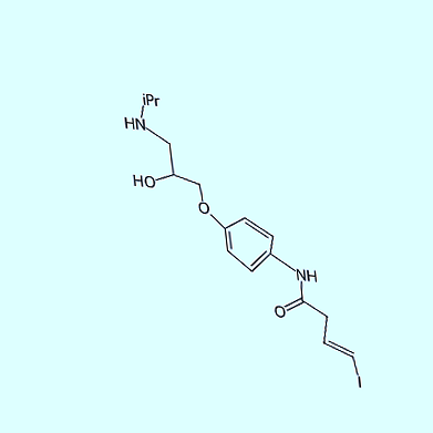 CC(C)NCC(O)COc1ccc(NC(=O)CC=CI)cc1